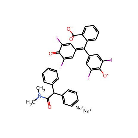 CN(C)C(=O)C(c1ccccc1)c1ccccc1.O=C1C(I)=CC(=C(c2cc(I)c([O-])c(I)c2)c2ccccc2C(=O)[O-])C=C1I.[Na+].[Na+]